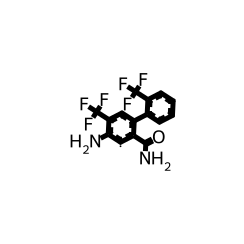 NC(=O)c1[c]c(N)c(C(F)(F)F)cc1-c1ccccc1C(F)(F)F